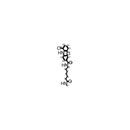 CNC(=O)CCCCCCNC(=O)c1ccc(Nc2c(Cl)cccc2Cl)cc1